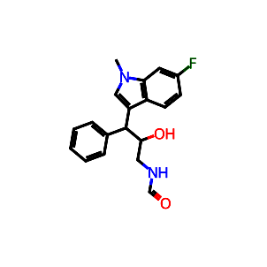 Cn1cc(C(c2ccccc2)C(O)CNC=O)c2ccc(F)cc21